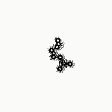 CC1(C)c2ccccc2-c2cc(-c3cccc4c3Cc3c(-c5cccc(-c6nc(-c7ccccc7)nc(-c7ccccc7)n6)c5)cccc3-4)ccc21